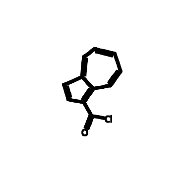 O=C(Cl)c1ccc2cccccc1-2